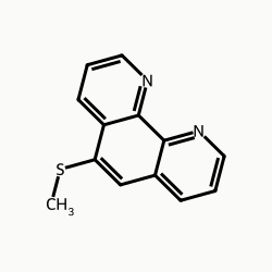 CSc1cc2cccnc2c2ncccc12